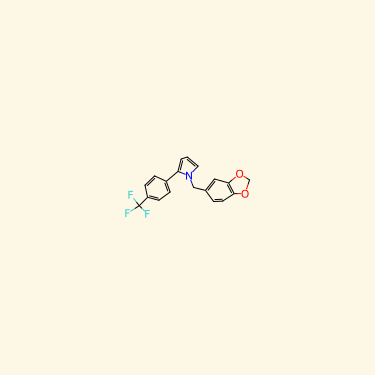 FC(F)(F)c1ccc(-c2cccn2Cc2ccc3c(c2)OCO3)cc1